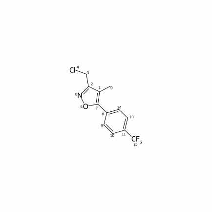 Cc1c(CCl)noc1-c1ccc(C(F)(F)F)cc1